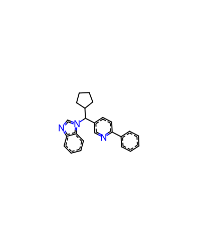 c1ccc(-c2ccc(C(C3CCCC3)n3cnc4ccccc43)cn2)cc1